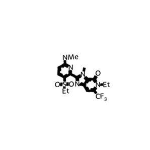 CCn1c(C(F)(F)F)cc2nc(-c3nc(NC)ccc3S(=O)(=O)CC)n(C)c2c1=O